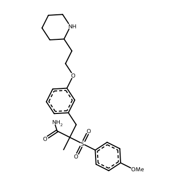 COc1ccc(S(=O)(=O)C(C)(Cc2cccc(OCCC3CCCCN3)c2)C(N)=O)cc1